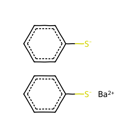 [Ba+2].[S-]c1ccccc1.[S-]c1ccccc1